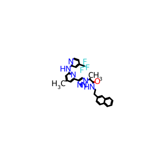 Cc1cc(Nc2cc(C(F)(F)F)ccn2)nc(-c2cn(C(C)C(=O)NCCc3ccc4ccccc4c3)nn2)c1